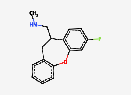 CNCC1Cc2ccccc2Oc2cc(F)ccc21